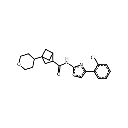 O=C(Nc1nc(-c2ccccc2Cl)cs1)C1CC2(C3CCOCC3)CC1C2